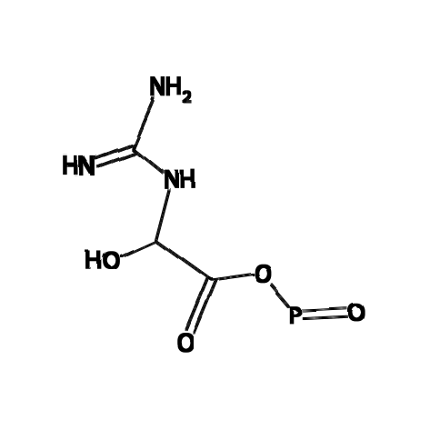 N=C(N)NC(O)C(=O)OP=O